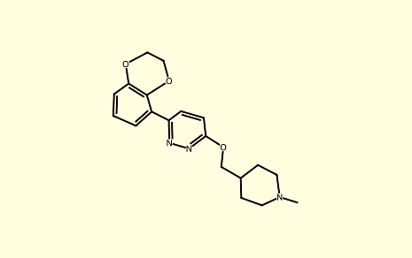 CN1CCC(COc2ccc(-c3cccc4c3OCCO4)nn2)CC1